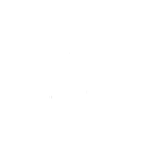 CCCCB1C=CC=C1CCCC